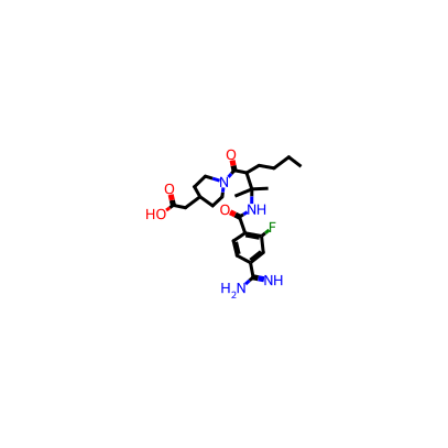 CCCCC(C(=O)N1CCC(CC(=O)O)CC1)C(C)(C)NC(=O)c1ccc(C(=N)N)cc1F